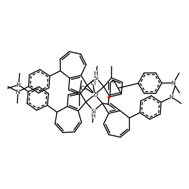 CC1=CC2=C(C=CC=CC2c2ccc(N(C)C)cc2)[C]12[SiH](C)[C]1(C(C)=CC3=C1C=CC=CC3c1ccc(N(C)C)cc1)[Zr]21([Cl])([Cl])[C]2(C(C)=CC3=C2C=CC=CC3c2ccc(N(C)C)cc2)[SiH](C)[C]12C(C)=CC1=C2C=CC=CC1c1ccc(N(C)C)cc1